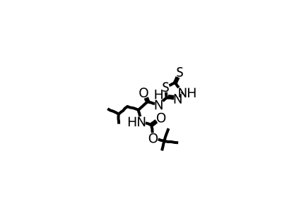 CC(C)CC(NC(=O)OC(C)(C)C)C(=O)Nc1n[nH]c(=S)s1